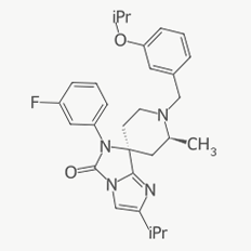 CC(C)Oc1cccc(CN2CC[C@]3(C[C@@H]2C)c2nc(C(C)C)cn2C(=O)N3c2cccc(F)c2)c1